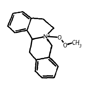 COO[N+]12CCc3ccccc3C1Cc1ccccc1C2